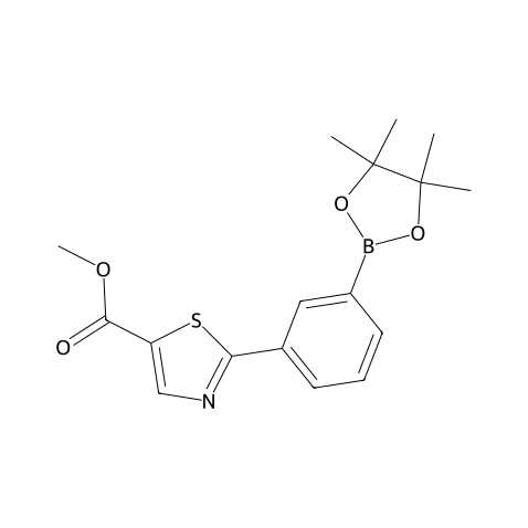 COC(=O)c1cnc(-c2cccc(B3OC(C)(C)C(C)(C)O3)c2)s1